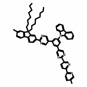 CCCCCCCCC1(CCCCCCCC)c2cc(C)ccc2-c2ccc(-c3ncc(-c4cc(-c5cnc(-c6ccc(-c7ccc(C)cn7)nc6)nc5)cc(-n5c6ccccc6c6ccccc65)c4)cn3)cc21